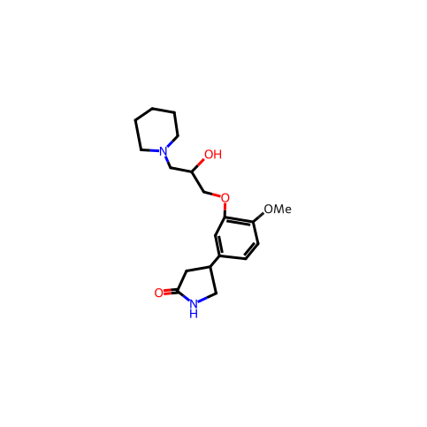 COc1ccc(C2CNC(=O)C2)cc1OCC(O)CN1CCCCC1